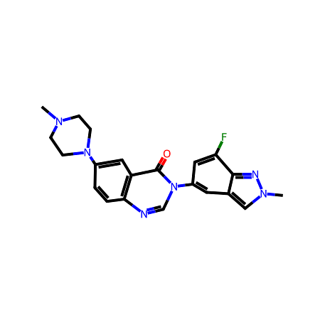 CN1CCN(c2ccc3ncn(-c4cc(F)c5nn(C)cc5c4)c(=O)c3c2)CC1